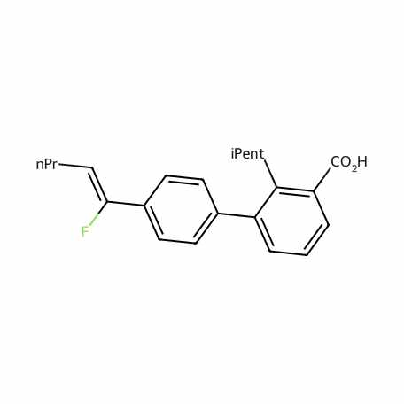 CCCC=C(F)c1ccc(-c2cccc(C(=O)O)c2C(C)CCC)cc1